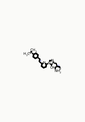 CN(C)c1ccc(/C=C/c2cccc(N3C=NN(C/C(=C/F)CN)C3O)n2)cc1